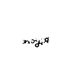 COc1cc(C)[nH]c(=O)c1CNC(=O)c1c(C)n([C@H](C)C2CCN(C(=O)Cc3cc(C)no3)CC2)c2ccccc12